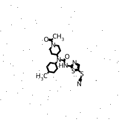 CC(=O)N1CCC(N(C(=O)Nc2ncc(SC#N)s2)C2CCC(C)CC2)CC1